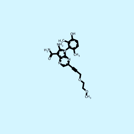 COCCOCC#Cc1cnc2c(C(N)=O)c(N)n(-c3c(C)ccc(O)c3C)c2n1